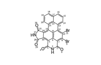 O=C1NC(=O)c2c3c1c(Br)c(Br)c1c4cccc5cccc(c54)c(c4c(=O)[nH]c(=O)c24)c31